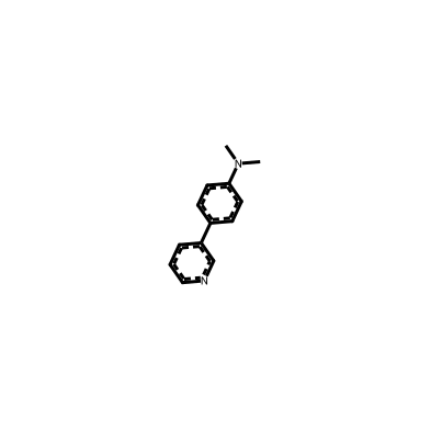 CN(C)c1ccc(-c2cccnc2)cc1